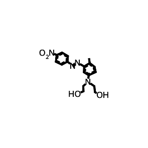 Cc1ccc(N(CCO)CCO)cc1N=Nc1ccc([N+](=O)[O-])cc1